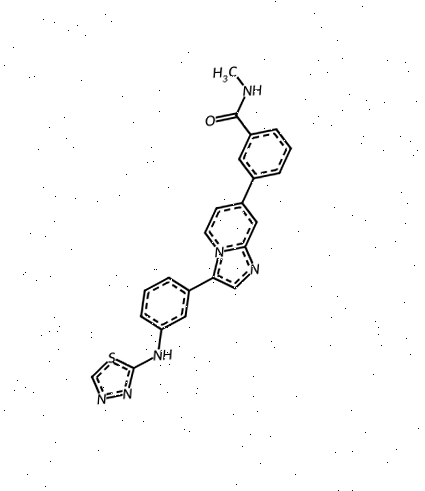 CNC(=O)c1cccc(-c2ccn3c(-c4cccc(Nc5nncs5)c4)cnc3c2)c1